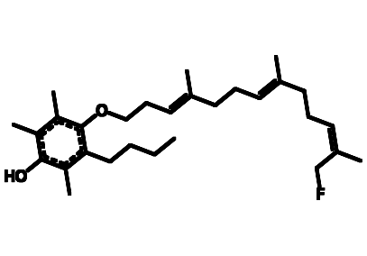 CCCCc1c(C)c(O)c(C)c(C)c1OCC/C=C(\C)CC/C=C(\C)CC/C=C(/C)CF